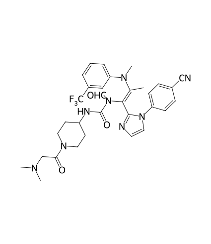 C/C(=C(\c1nccn1-c1ccc(C#N)cc1)N(C=O)C(=O)NC1CCN(C(=O)CN(C)C)CC1)N(C)c1cccc(C(F)(F)F)c1